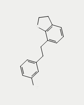 COc1cccc(CCc2cccc3c2NCC3)c1